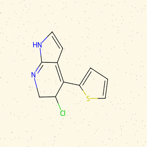 ClC1CN=c2[nH]ccc2=C1c1cccs1